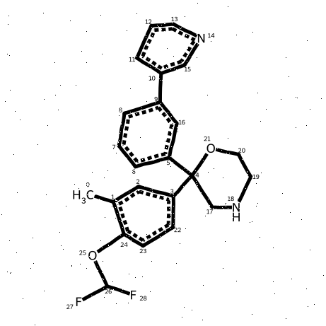 Cc1cc(C2(c3cccc(-c4cccnc4)c3)CNCCO2)ccc1OC(F)F